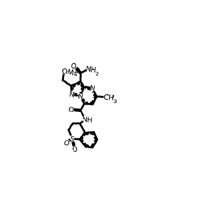 COCc1nn2c(C(=O)NC3CCS(=O)(=O)c4ccccc43)cc(C)nc2c1C(N)=O